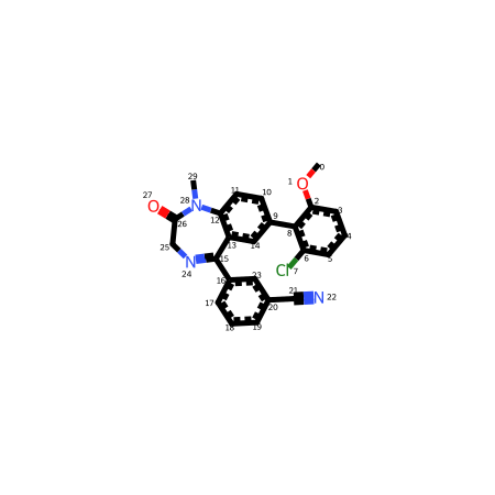 COc1cccc(Cl)c1-c1ccc2c(c1)C(c1cccc(C#N)c1)=NCC(=O)N2C